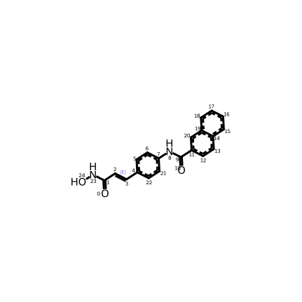 O=C(/C=C/c1ccc(NC(=O)c2ccc3ccccc3c2)cc1)NO